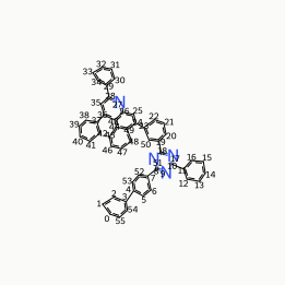 c1ccc(-c2ccc(-c3nc(-c4ccccc4)nc(-c4cccc(-c5cc6nc(-c7ccccc7)cc(-c7ccccc7)c6c6ccccc56)c4)n3)cc2)cc1